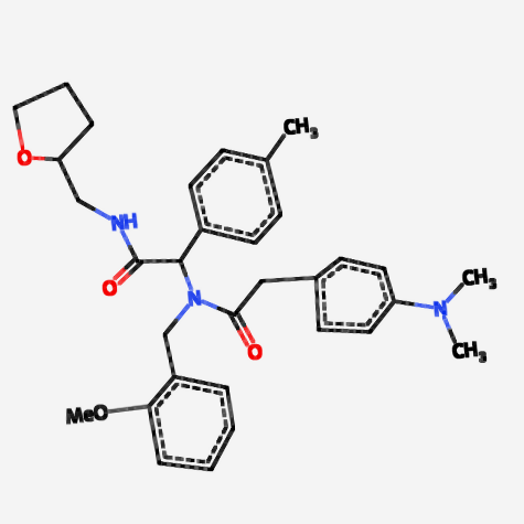 COc1ccccc1CN(C(=O)Cc1ccc(N(C)C)cc1)C(C(=O)NCC1CCCO1)c1ccc(C)cc1